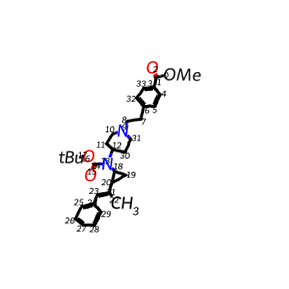 COC(=O)c1ccc(CCN2CCC(N(C(=O)OC(C)(C)C)C3CC3C(C)=Cc3ccccc3)CC2)cc1